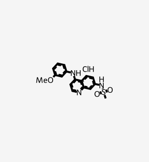 COc1cccc(Nc2ccnc3cc(NS(C)(=O)=O)ccc23)c1.Cl